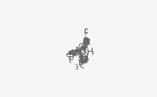 O=C(Cc1ccc(F)cc1)Nc1nc2ccc(C(F)(F)F)cn2c1-c1cc(C(F)(F)F)ccn1